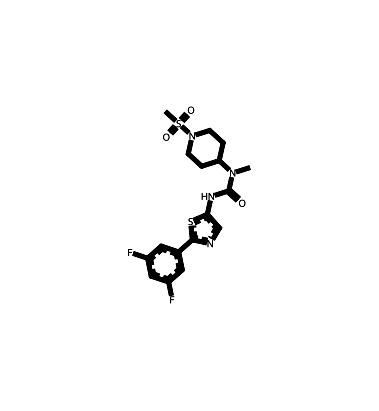 CN(C(=O)Nc1cnc(-c2cc(F)cc(F)c2)s1)C1CCN(S(C)(=O)=O)CC1